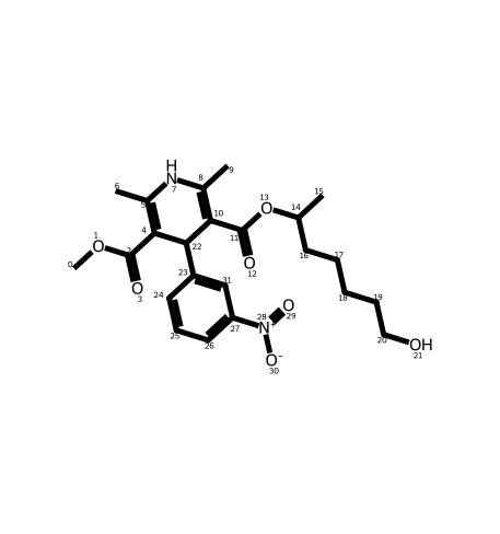 COC(=O)C1=C(C)NC(C)=C(C(=O)OC(C)CCCCCO)C1c1cccc([N+](=O)[O-])c1